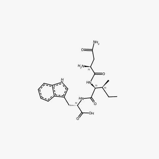 CC[C@H](C)[C@H](NC(=O)[C@@H](N)CC(N)=O)C(=O)N[C@@H](Cc1c[nH]c2ccccc12)C(=O)O